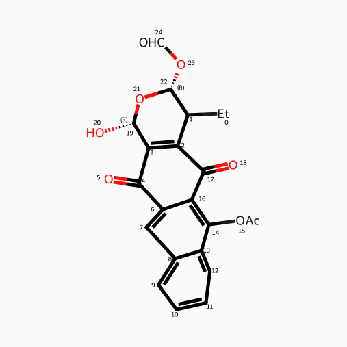 CCC1C2=C(C(=O)c3cc4ccccc4c(OC(C)=O)c3C2=O)[C@H](O)O[C@@H]1OC=O